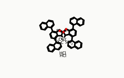 CCC1=Cc2c(-c3cccc4ccccc34)ccc(-c3cccc4ccccc34)c2[CH]1[Zr]([CH3])([CH3])(=[SiH2])[CH]1C(CC)=Cc2c(-c3cccc4ccccc34)ccc(-c3cccc4ccccc34)c21.Cl.Cl